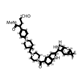 CNC(=O)C(CCC=O)c1ccc(N2CCC(F)(CN3CCN(C(=O)c4ccc5[nH]c(C6NNC7=C6CC6C(F)(F)C6(C)C7)cc5c4)CC3)CC2)cc1